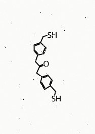 O=C(Cc1ccc(CS)cc1)Cc1ccc(CS)cc1